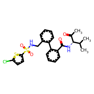 CC(=O)[C@@H](NC(=O)c1ccccc1-c1ccccc1CNS(=O)(=O)c1ccc(Cl)s1)C(C)C